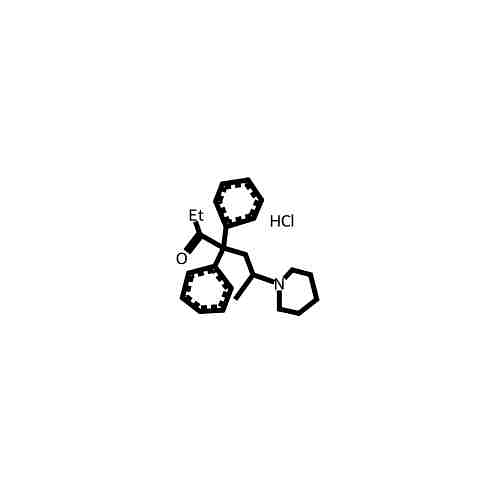 CCC(=O)C(CC(C)N1CCCCC1)(c1ccccc1)c1ccccc1.Cl